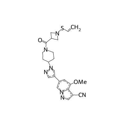 C=CSN1CC(C(=O)N2CCC(n3cc(-c4cc(OC)c5c(C#N)cnn5c4)cn3)CC2)C1